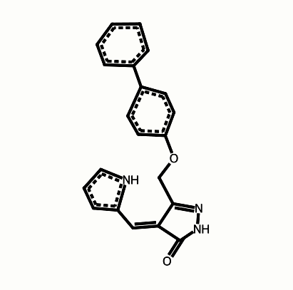 O=C1NN=C(COc2ccc(-c3ccccc3)cc2)C1=Cc1ccc[nH]1